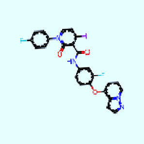 O=C(Nc1ccc(Oc2cccn3nccc23)c(F)c1)c1c(I)ccn(-c2ccc(F)cc2)c1=O